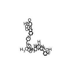 CC1(C)CN(CC2CCN(c3ccc4c(c3)C(=O)N([C@H]3CCC(=O)NC3=O)C4)CC2)CCN1C(=O)N1CCN2c3cc(-c4cccc(F)c4O)nnc3NC[C@@H]2C1